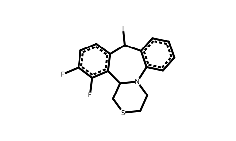 Fc1ccc2c(c1F)C1CSCCN1c1ccccc1C2I